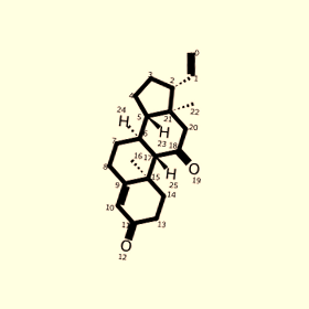 C=C[C@H]1CC[C@H]2[C@@H]3CCC4=CC(=O)CC[C@]4(C)[C@H]3C(=O)C[C@]12C